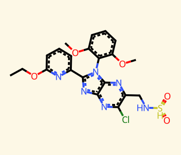 CCOc1cccc(-c2nc3nc(Cl)c(CN[SH](=O)=O)nc3n2-c2c(OC)cccc2OC)n1